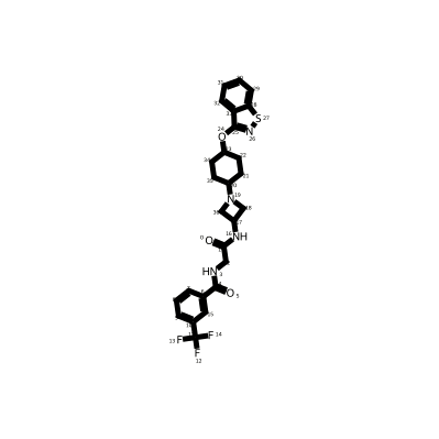 O=C(CNC(=O)c1cccc(C(F)(F)F)c1)NC1CN(C2CCC(Oc3nsc4ccccc34)CC2)C1